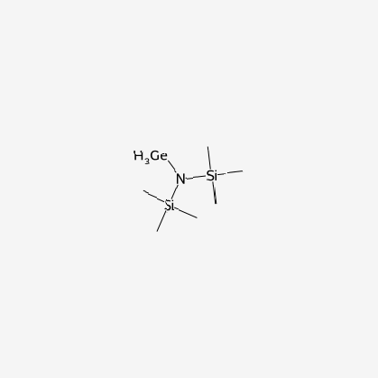 C[Si](C)(C)[N]([GeH3])[Si](C)(C)C